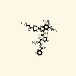 CCCC(=O)N1CCN(c2nc(NC(=O)[C@@H]3CCCN3C(=O)C(C)CSC(=O)c3ccccc3)c3cc(OC)c(OC)cc3n2)CC1